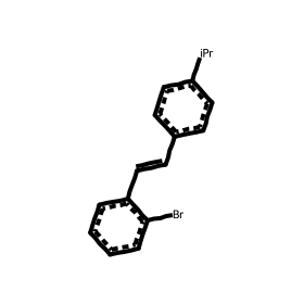 CC(C)c1ccc(C=Cc2ccccc2Br)cc1